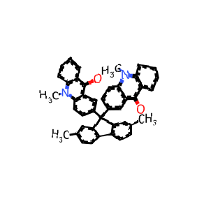 Cc1ccc2c(c1)C(c1ccc3c(c1)c(=O)c1ccccc1n3C)(c1ccc3c(c1)c(=O)c1ccccc1n3C)c1cc(C)ccc1-2